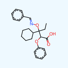 CCC(ON=Cc1ccccc1)(C1CCCCC1)C(Oc1ccccc1)C(=O)O